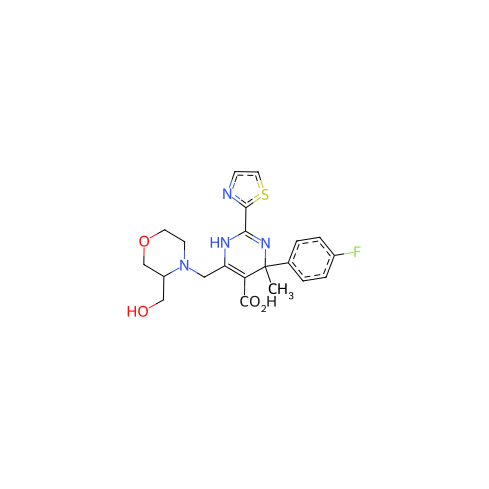 CC1(c2ccc(F)cc2)N=C(c2nccs2)NC(CN2CCOCC2CO)=C1C(=O)O